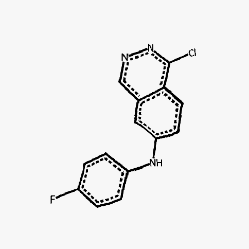 Fc1ccc(Nc2ccc3c(Cl)nncc3c2)cc1